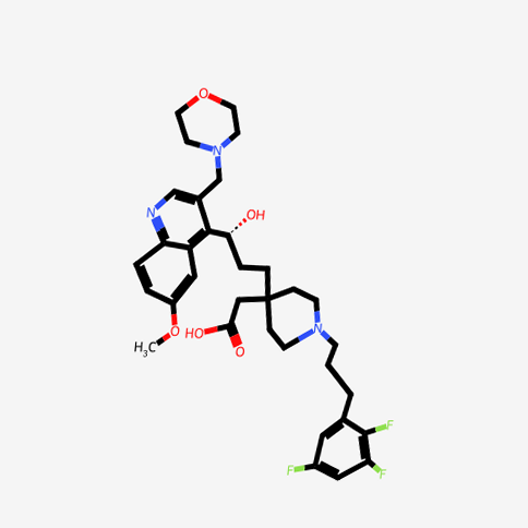 COc1ccc2ncc(CN3CCOCC3)c([C@H](O)CCC3(CC(=O)O)CCN(CCCc4cc(F)cc(F)c4F)CC3)c2c1